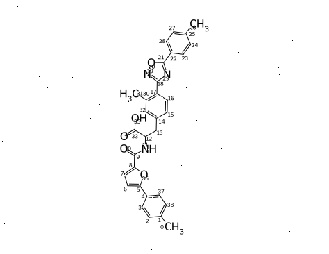 Cc1ccc(-c2ccc(C(=O)NC(Cc3ccc(-c4noc(-c5ccc(C)cc5)n4)c(C)c3)C(=O)O)o2)cc1